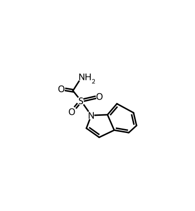 NC(=O)S(=O)(=O)n1ccc2ccccc21